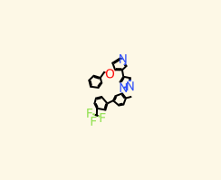 Cc1ccc(-c2cccc(C(F)(F)F)c2)cc1-n1cc(-c2cnccc2OCc2ccccc2)cn1